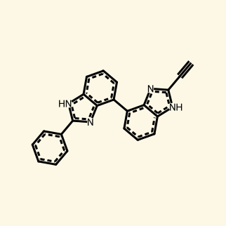 C#Cc1nc2c(-c3cccc4[nH]c(-c5ccccc5)nc34)cccc2[nH]1